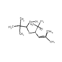 COC(OC(C=C(C)C)C(C)(C)C)C(C)(C)C